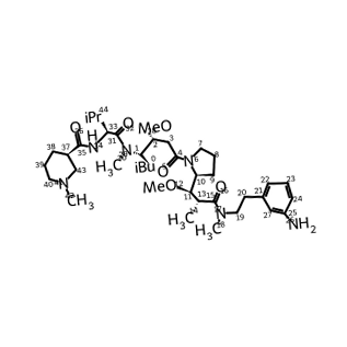 CC[C@H](C)[C@@H]([C@@H](CC(=O)N1CCC[C@H]1[C@H](OC)[C@@H](C)C(=O)N(C)CCc1cccc(N)c1)OC)N(C)C(=O)[C@@H](NC(=O)[C@@H]1CCCN(C)C1)C(C)C